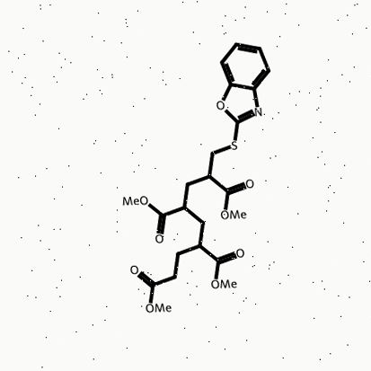 COC(=O)CCC(CC(CC(CSc1nc2ccccc2o1)C(=O)OC)C(=O)OC)C(=O)OC